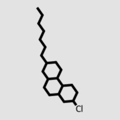 CCCCCCCC1CCC2C(CCC3CC(Cl)CCC32)C1